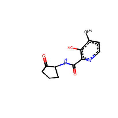 COc1ccnc(C(=O)NC2CCCC2=O)c1O